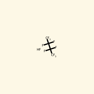 F.FC(F)(F)C(F)(F)C(F)(F)C(F)(F)F